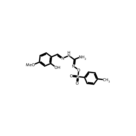 COc1ccc(C=NNC(N)=NOS(=O)(=O)c2ccc(C)cc2)c(O)c1